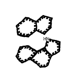 c1ccc2c(c1)ccc1cc[nH]c12.c1ccc2ccccc2c1